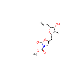 C=CC[C@@H]1OC(C[C@H]2CN(C(=O)OC(C)(C)C)C(=O)O2)[C@H](C)[C@H]1O